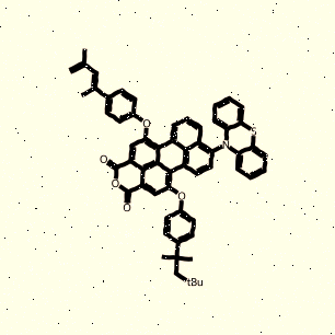 C=C(C)/C=C(\C)c1ccc(Oc2cc3c4c(cc(Oc5ccc(C(C)(C)CC(C)(C)C)cc5)c5c6ccc(N7c8ccccc8Sc8ccccc87)c7cccc(c2c45)c76)C(=O)OC3=O)cc1